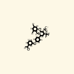 [C-]#[N+]c1c(C(F)(F)F)cc(-c2ccc(Oc3cccc(C(C)=O)c3)cc2)n(Cc2ccc(C)cc2C)c1=O